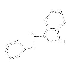 O=C(Nc1ccccc1)c1c[nH]c2ccccc12